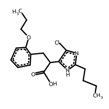 CCCCc1nc(Cl)c(C(Cc2ccccc2OCCC)C(=O)O)[nH]1